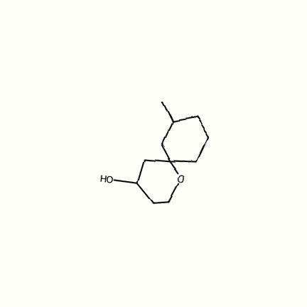 CC1CCCC2(C1)CC(O)CCO2